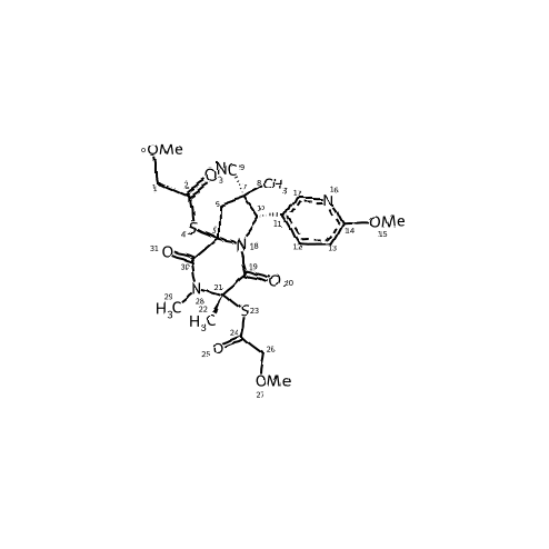 COCC(=O)SC12C[C@](C)(C#N)[C@H](c3ccc(OC)nc3)N1C(=O)[C@](C)(SC(=O)COC)N(C)C2=O